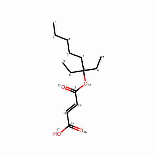 CCCCCC(CC)(CC)OC(=O)/C=C/C(=O)O